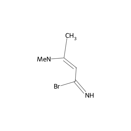 CN/C(C)=C\C(=N)Br